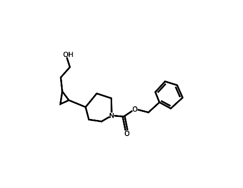 O=C(OCc1ccccc1)N1CCC(C2CC2CCO)CC1